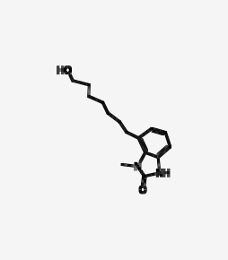 Cn1c(=O)[nH]c2cccc(CCCCCCCO)c21